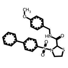 COc1ccc(CNC(=O)C2SCCN2S(=O)(=O)c2ccc(-c3ccccc3)cc2)cc1